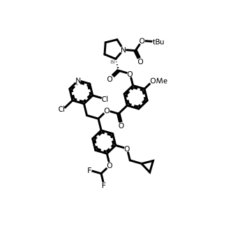 COc1ccc(C(=O)OC(Cc2c(Cl)cncc2Cl)c2ccc(OC(F)F)c(OCC3CC3)c2)cc1OC(=O)[C@@H]1CCCN1C(=O)OC(C)(C)C